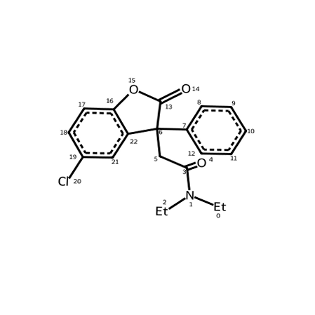 CCN(CC)C(=O)CC1(c2ccccc2)C(=O)Oc2ccc(Cl)cc21